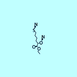 CCOC(=O)C(CCCCSC#N)OC#N